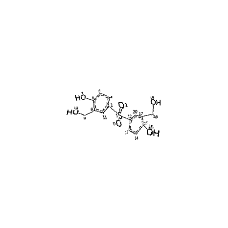 O=S(=O)(c1ccc(O)c(CO)c1)c1ccc(O)c(CO)c1